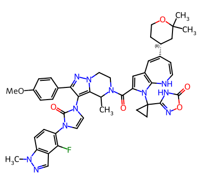 COc1ccc(-c2nn3c(c2-n2ccn(-c4ccc5c(cnn5C)c4F)c2=O)C(C)N(C(=O)c2cc4c(n2C2(c5noc(=O)[nH]5)CC2)NC=CC([C@@H]2CCOC(C)(C)C2)=C4)CC3)cc1